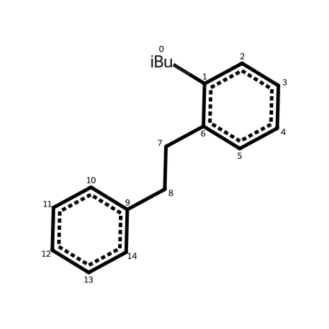 CCC(C)c1ccccc1CCc1ccccc1